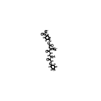 [N-]=[N+]=C(CC(=O)OCc1ccc([N+](=O)[O-])cc1)C(=O)CCNC(=O)COc1ccccc1